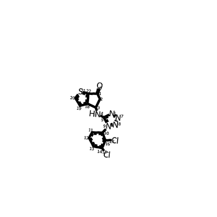 O=C1CC(Nc2nnnn2-c2cccc(Cl)c2Cl)c2ccsc21